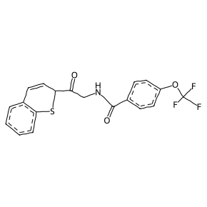 O=C(NCC(=O)C1C=Cc2ccccc2S1)c1ccc(OC(F)(F)F)cc1